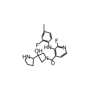 O=C(c1ccnc(F)c1Nc1ccc(I)cc1F)N1CC(O)(C2CCCN2)C1